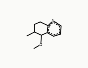 COC1c2cccnc2CCC1C